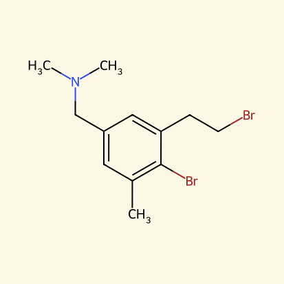 Cc1cc(CN(C)C)cc(CCBr)c1Br